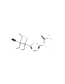 CCC(C#N)(CC)C(CC)(CC)c1nnc(N(C)C(=O)N(C)C)s1